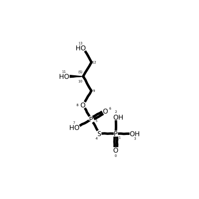 O=P(O)(O)SP(=O)(O)OC[C@@H](O)CO